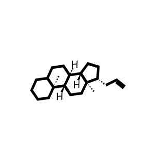 C=CC[C@H]1CC[C@H]2[C@@H]3CCC4CCCC[C@]4(C)[C@H]3CC[C@]12C